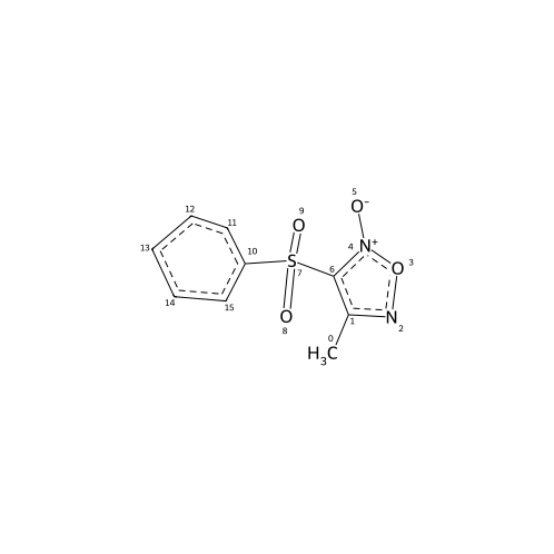 Cc1no[n+]([O-])c1S(=O)(=O)c1ccccc1